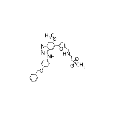 COc1cc2ncnc(Nc3ccc(OCc4ccccc4)cc3)c2cc1-c1ccc(CNCCS(C)(=O)=O)o1